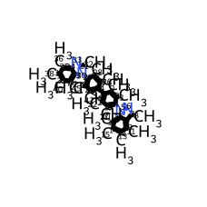 Cc1c(C)c(-n2nc(C)c3c(C)c(C)c(C)c(C)c32)c(C)c(C)c1-c1c(C)c(C)c(-n2c(C)nc3c(C)c(C)c(C)c(C)c32)c(C)c1C